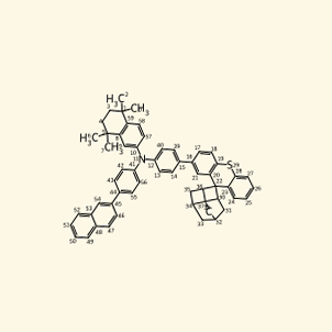 CC1(C)CCC(C)(C)c2cc(N(c3ccc(-c4ccc5c(c4)C4(c6ccccc6S5)C5CC6CC7CC4[C@@]75C6)cc3)c3ccc(-c4ccc5ccccc5c4)cc3)ccc21